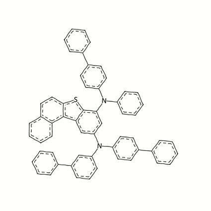 c1ccc(-c2ccc(N(c3cccc(-c4ccccc4)c3)c3cc(N(c4ccccc4)c4ccc(-c5ccccc5)cc4)c4sc5ccc6ccccc6c5c4c3)cc2)cc1